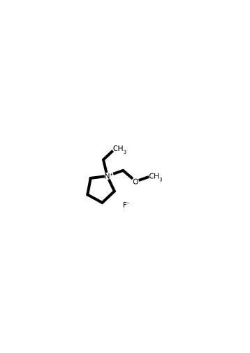 CC[N+]1(COC)CCCC1.[F-]